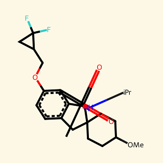 COC1CCC2(CC1)Cc1ccc(OCC3CC3(F)F)cc1C21NC(=O)N(C(C)C)C1=O